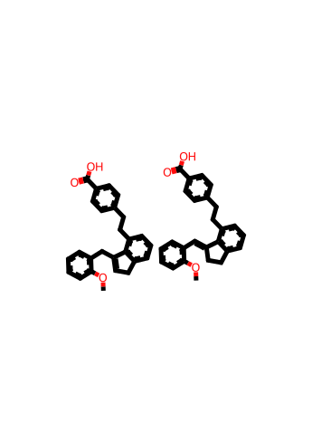 COc1ccccc1C=C1CCc2cccc(CCc3ccc(C(=O)O)cc3)c21.COc1ccccc1CC1=CCc2cccc(CCc3ccc(C(=O)O)cc3)c21